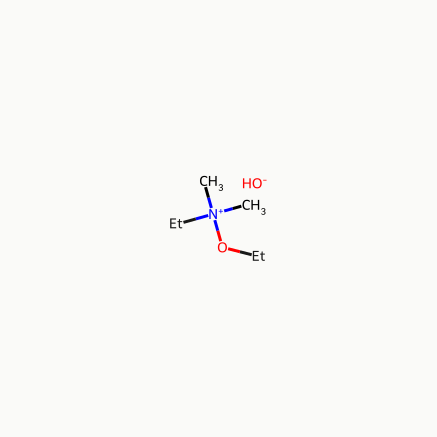 CCO[N+](C)(C)CC.[OH-]